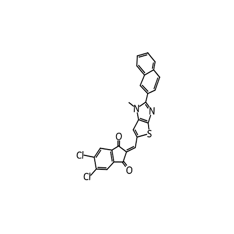 Cn1c(-c2ccc3ccccc3c2)nc2sc(C=C3C(=O)c4cc(Cl)c(Cl)cc4C3=O)cc21